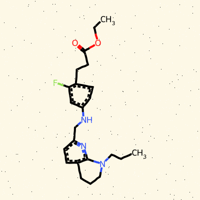 CCCN1CCCc2ccc(CNc3ccc(CCC(=O)OCC)c(F)c3)nc21